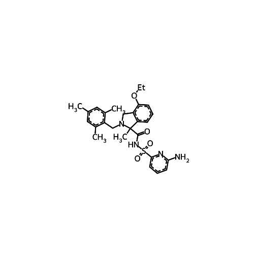 CCOc1cccc2c1CN(Cc1c(C)cc(C)cc1C)C2(C)C(=O)NS(=O)(=O)c1cccc(N)n1